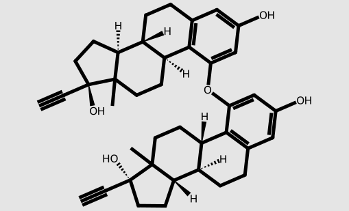 C#C[C@]1(O)CC[C@H]2[C@@H]3CCc4cc(O)cc(Oc5cc(O)cc6c5[C@H]5CCC7(C)[C@@H](CC[C@@]7(O)C#C)[C@@H]5CC6)c4[C@H]3CCC21C